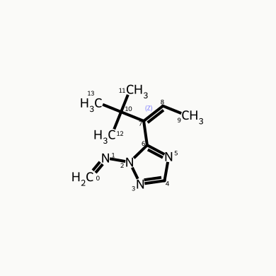 C=Nn1ncnc1/C(=C\C)C(C)(C)C